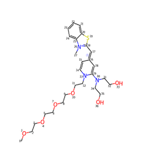 COCCOCCOCCOCCN1C=C/C(=C\c2sc3ccccc3[n+]2C)C=C1N(CCO)CCO